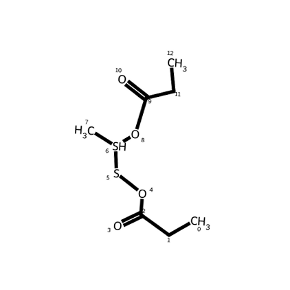 CCC(=O)OS[SH](C)OC(=O)CC